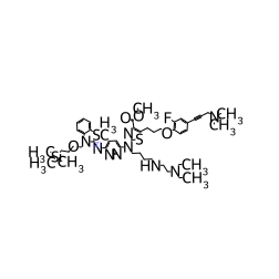 CCN(CC)CCNCCCCN(c1cc(C)c(/N=c2\sc3ccccc3n2COCC[Si](C)(C)C)nn1)c1nc(C(=O)OC)c(CCCOc2ccc(C#CCN(C)C)cc2F)s1